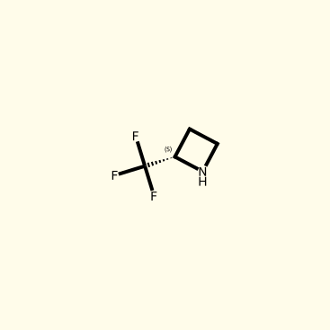 FC(F)(F)[C@@H]1CCN1